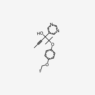 CC#CC(O)(c1cncnc1)C(C)(C)Oc1ccc(OCF)cc1